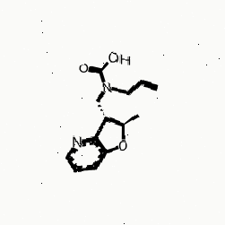 C=CCN(C[C@H]1c2ncccc2O[C@@H]1C)C(=O)O